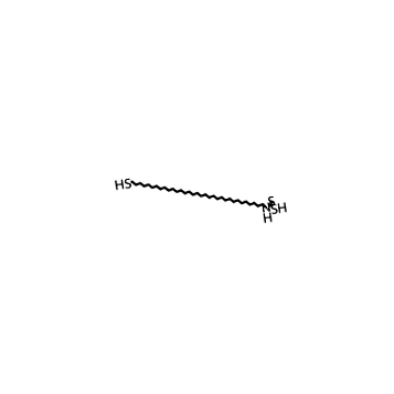 S=C(S)NCCCCCCCCCCCCCCCCCCCCCCCCCCCCCCCCCS